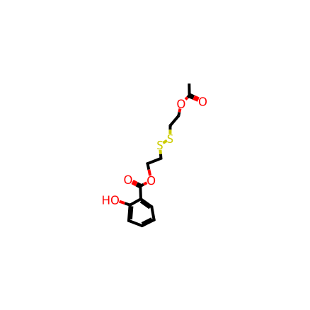 CC(=O)OCCSSCCOC(=O)c1ccccc1O